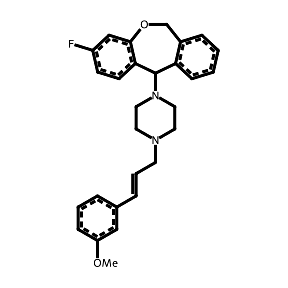 COc1cccc(C=CCN2CCN(C3c4ccccc4COc4cc(F)ccc43)CC2)c1